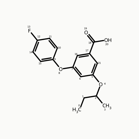 CCC(C)Oc1cc(Oc2ccc(F)cc2)cc(C(=O)O)c1